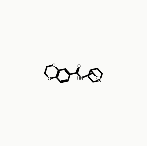 O=C(NC1CN2CCC1CC2)c1ccc2c(c1)OCCO2